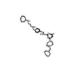 Cc1cc(N2CCN(CC3CCCCC3)CC2)nc(NCc2ccc(CNCCCNC3CCCCC3)cc2)n1